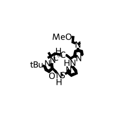 COCCN(C)c1ccnc(C2CC[C@@H]3CN(c4nc(C(C)(C)C)ccc4C(=O)NSc4cccc(n4)N2)C(C)(C)C3)c1